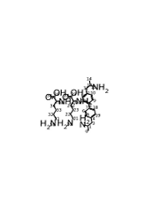 CC(N)Cc1ccc(-c2ccc(CC(C)N)cc2)cc1.NCCCC[C@H](N)C(=O)O.NCCCC[C@H](N)C(=O)O